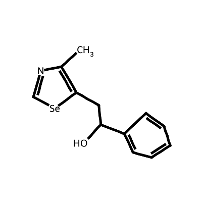 Cc1nc[se]c1CC(O)c1ccccc1